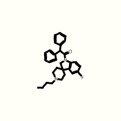 CCCCN1CCC2(CC1)CN(C(=O)C(c1ccccc1)c1ccccc1)c1ccc(F)cc12